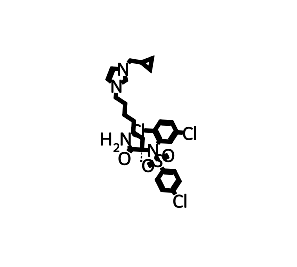 C[C@@](CCCCCCN1C=CN(CC2CC2)C1)(C(N)=O)N(c1cc(Cl)ccc1Cl)S(=O)(=O)c1ccc(Cl)cc1